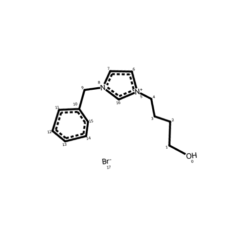 OCCCC[n+]1ccn(Cc2ccccc2)c1.[Br-]